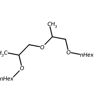 CCCCCCOCC(C)OCC(C)OCCCCCC